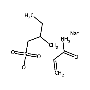 C=CC(N)=O.CCC(C)CS(=O)(=O)[O-].[Na+]